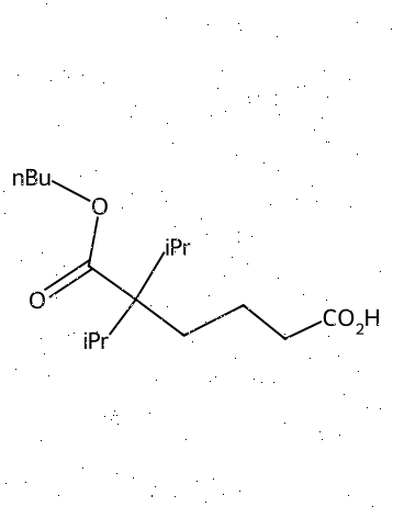 CCCCOC(=O)C(CCCC(=O)O)(C(C)C)C(C)C